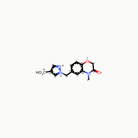 CN1C(=O)COc2ccc(Cn3cc(C(=O)O)cn3)cc21